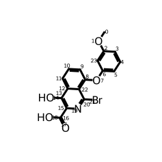 COc1cccc(Oc2cccc3c(O)c(C(=O)O)nc(Br)c23)c1